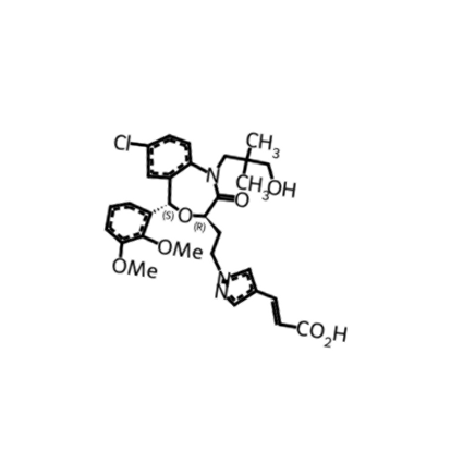 COc1cccc([C@H]2O[C@H](CCn3cc(C=CC(=O)O)cn3)C(=O)N(CC(C)(C)CO)c3ccc(Cl)cc32)c1OC